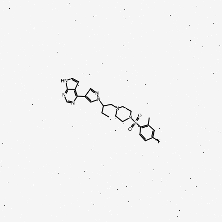 CCC(CN1CCN(S(=O)(=O)c2ccc(F)cc2C)CC1)n1cc(-c2ncnc3[nH]ccc23)cn1